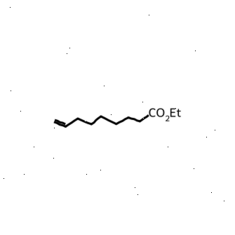 C=CCCCCCCC(=O)OCC